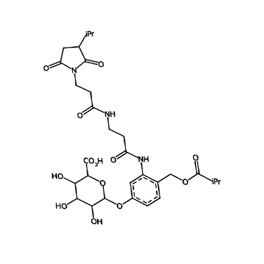 CC(C)C(=O)OCc1ccc(OC2OC(C(=O)O)C(O)C(O)C2O)cc1NC(=O)CCNC(=O)CCN1C(=O)CC(C(C)C)C1=O